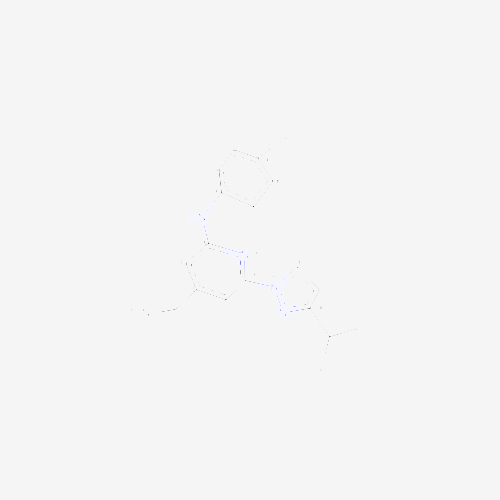 CC(=O)NCc1cc(Nc2ccc(F)cc2)nc(-n2ccc(C(F)F)n2)c1